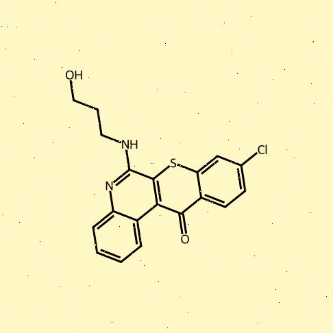 O=c1c2ccc(Cl)cc2sc2c(NCCCO)nc3ccccc3c12